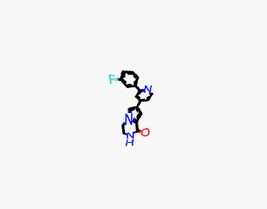 O=C1NCCn2cc(-c3ccnc(-c4cccc(F)c4)c3)cc21